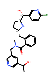 CC(O)c1cncc(CN(C)C(=O)c2ccccc2C[C@@H]2CC[C@H]([C@H](O)c3ccc(Cl)nc3)N2)c1